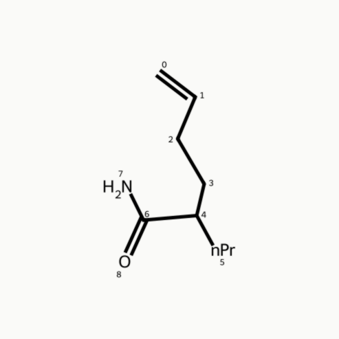 C=CCCC(CCC)C(N)=O